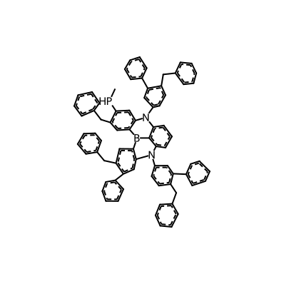 CPc1cc2c(cc1Cc1ccccc1)B1c3cc(Cc4ccccc4)c(-c4ccccc4)cc3N(c3ccc(Cc4ccccc4)c(-c4ccccc4)c3)c3cccc(c31)N2c1ccc(Cc2ccccc2)c(-c2ccccc2)c1